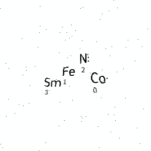 [Co].[Fe].[N].[Sm]